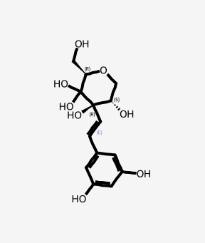 OC[C@H]1OC[C@H](O)[C@](O)(/C=C/c2cc(O)cc(O)c2)C1(O)O